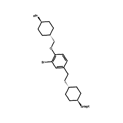 CCCCCCC[C@H]1CC[C@H](CCc2ccc(OC[C@H]3CC[C@H](CCC)CC3)c(Br)c2)CC1